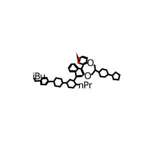 CCCC1CCC(C2CCC(c3ccc(CC(C)CC)cc3)CC2)CC1c1cc2c(c3ccccc13)-c1c(ccc3ccccc13)OCC(C1CCC(C3CCCC3)CC1)CO2